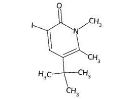 Cc1c(C(C)(C)C)cc(I)c(=O)n1C